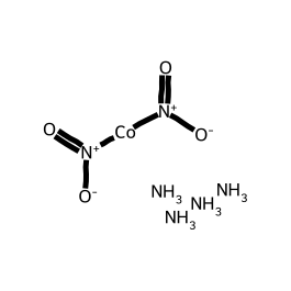 N.N.N.N.O=[N+]([O-])[Co][N+](=O)[O-]